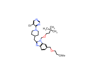 CCc1cncnc1N1CCC(Cc2nc3ccc(COCCOC)cc3n2COCC[Si](C)(C)C)CC1